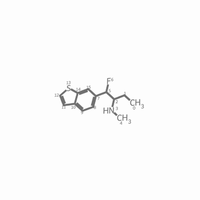 CCC(NC)C(F)c1ccc2ccsc2c1